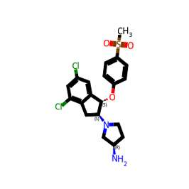 CS(=O)(=O)c1ccc(O[C@H]2c3cc(Cl)cc(Cl)c3C[C@@H]2N2CC[C@@H](N)C2)cc1